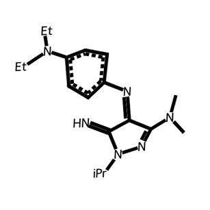 CCN(CC)c1ccc(N=C2C(=N)N(C(C)C)N=C2N(C)C)cc1